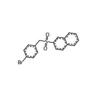 O=S(=O)(Cc1ccc(Br)cc1)c1ccc2ccccc2c1